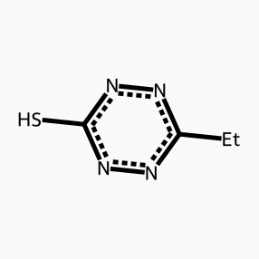 CCc1nnc(S)nn1